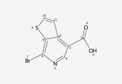 O=C(O)c1cnc(Br)c2sccc12